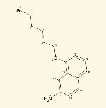 CC(C)CCCCCOc1cccc2ccc(N)nc12